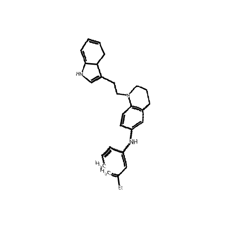 C=C(/C=C(\C=C/C)Nc1ccc2c(c1)CCCN2CCC1=CNC2=CC=CCC12)CC